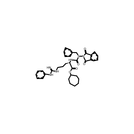 N=C(NCCC[C@@H](NC(=O)N(Cc1ccccc1)N1C(=O)c2ccccc2C1=O)C(=O)OC1CCCCCC1)Nc1ccccc1